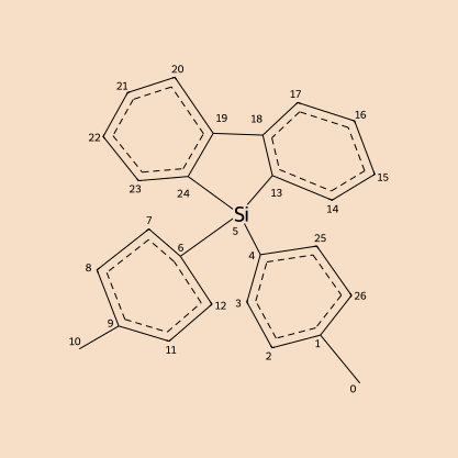 Cc1ccc([Si]2(c3ccc(C)cc3)c3ccccc3-c3ccccc32)cc1